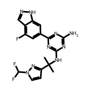 CC(C)(Nc1nc(N)nc(-c2cc(F)c3cn[nH]c3c2)n1)c1ccn(C(F)F)n1